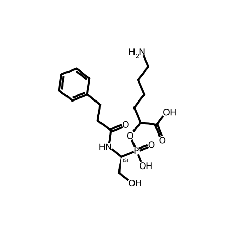 NCCCCC(OP(=O)(O)[C@@H](CO)NC(=O)CCc1ccccc1)C(=O)O